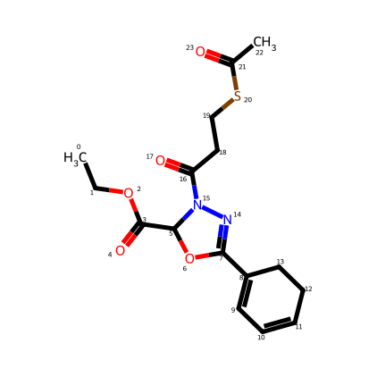 CCOC(=O)C1OC(C2=CC=CCC2)=NN1C(=O)CCSC(C)=O